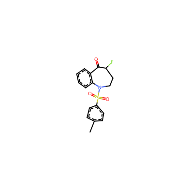 Cc1ccc(S(=O)(=O)N2CCC(F)C(=O)c3ccccc32)cc1